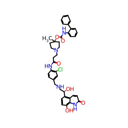 CC1(OC(=O)Nc2ccccc2-c2ccccc2)CCN(CCC(=O)Nc2ccc(CNC[C@@H](O)c3ccc(O)c4[nH]c(=O)ccc34)cc2Cl)CC1